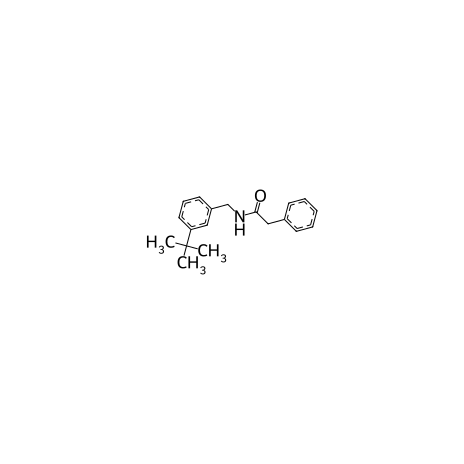 CC(C)(C)c1cccc(CNC(=O)Cc2ccccc2)c1